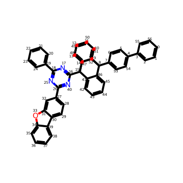 c1ccc(-c2ccc(C34c5ccccc5C(c5nc(-c6ccccc6)nc(-c6ccc7c(c6)oc6ccccc67)n5)(c5ccccc53)c3ccccc34)cc2)cc1